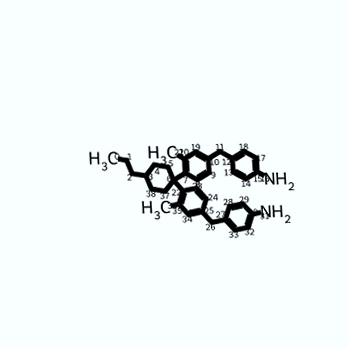 CCCC1CCC(c2ccc(Cc3ccc(N)cc3)cc2C)(c2ccc(Cc3ccc(N)cc3)cc2C)CC1